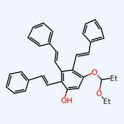 CCOC(CC)Oc1cc(O)c(C=Cc2ccccc2)c(C=Cc2ccccc2)c1C=Cc1ccccc1